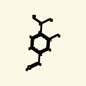 Cc1cc(C=O)ccc1C(C)C